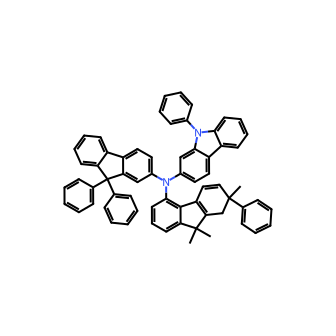 CC1(c2ccccc2)C=CC2=C(C1)C(C)(C)c1cccc(N(c3ccc4c(c3)C(c3ccccc3)(c3ccccc3)c3ccccc3-4)c3ccc4c5ccccc5n(-c5ccccc5)c4c3)c12